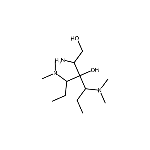 CCC(N(C)C)C(O)(C(N)CO)C(CC)N(C)C